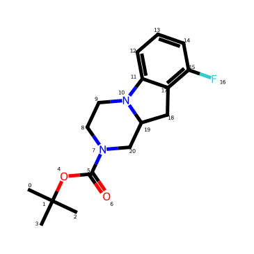 CC(C)(C)OC(=O)N1CCN2c3cccc(F)c3CC2C1